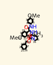 COc1ccc(NC(=O)[C@@H](NC(=O)[C@]2(C)CCCN2C(=O)OCc2ccccc2)c2ccc(OC)cc2)cc1